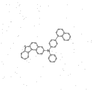 c1ccc(N(c2ccc(-c3cccc4ccccc34)cc2)c2ccc3c(ccc4sc5ccccc5c43)c2)cc1